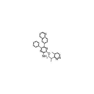 Cc1ccnnc1C(C)COc1nc(-c2ccc3ncccc3c2)c(-c2ccccc2)nc1N